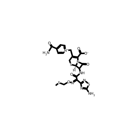 CSCO/N=C(\C(=O)NC1C(=O)N2C(C(=O)[O-])=C(C[n+]3ccc(C(N)=O)cc3)CS[C@H]12)c1nsc(N)n1